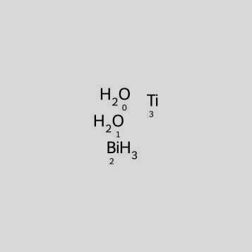 O.O.[BiH3].[Ti]